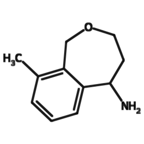 Cc1cccc2c1COCCC2N